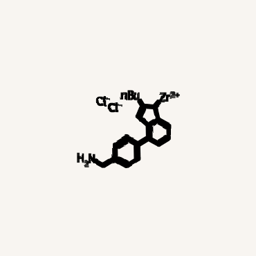 CCCCC1=Cc2c(-c3ccc(CN)cc3)cccc2[CH]1[Zr+2].[Cl-].[Cl-]